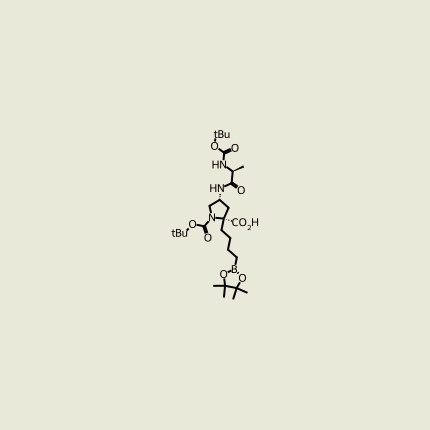 C[C@H](NC(=O)OC(C)(C)C)C(=O)N[C@H]1CN(C(=O)OC(C)(C)C)[C@@](CCCCB2OC(C)(C)C(C)(C)O2)(C(=O)O)C1